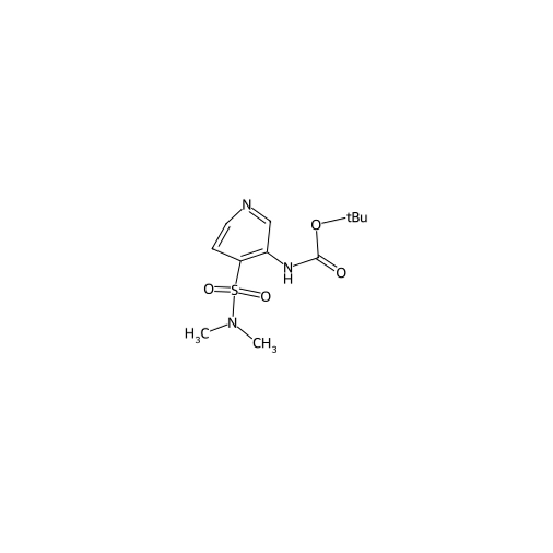 CN(C)S(=O)(=O)c1ccncc1NC(=O)OC(C)(C)C